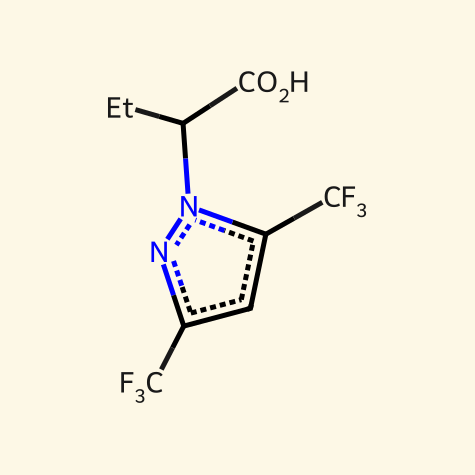 CCC(C(=O)O)n1nc(C(F)(F)F)cc1C(F)(F)F